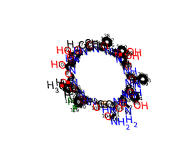 COCC[C@H]1C(=O)N2C[C@@H](O)C[C@@H]2C(=O)N[C@@H](CC(=O)O)C(=O)N[C@@H](C(C)C)C(=O)N(C)[C@H](Cc2ccccc2)C(=O)N[C@@H](Cc2ccc(O)cc2)C(=O)N2C[C@@H](O)C[C@@H]2C(=O)N[C@@H](Cc2c[nH]c3ccccc23)C(=O)N[C@@H](Cc2ccc(O)cc2)C(=O)N[C@@H](CCCN)C(=O)N[C@H](C(=O)NCC(N)=O)CSCC(=O)N[C@@H](Cc2ccc(F)c(F)c2)C(=O)N(C)[C@@H](Cc2ccccc2)C(=O)N1C